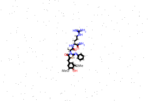 COc1cc(/C=C2\S/C(=N\c3ccccc3)N([C@@H](C)C(=O)N[C@@H](CCCNC(=N)N)C(N)=O)C2=O)cc(OC)c1O